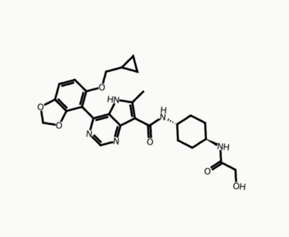 Cc1[nH]c2c(-c3c(OCC4CC4)ccc4c3OCO4)ncnc2c1C(=O)N[C@H]1CC[C@H](NC(=O)CO)CC1